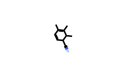 CC1=C(C)C(C)C(C#N)C=C1